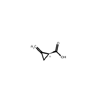 C=C1C[C@@H]1C(=O)O